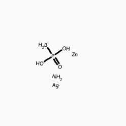 BP(=O)(O)O.[Ag].[AlH3].[Zn]